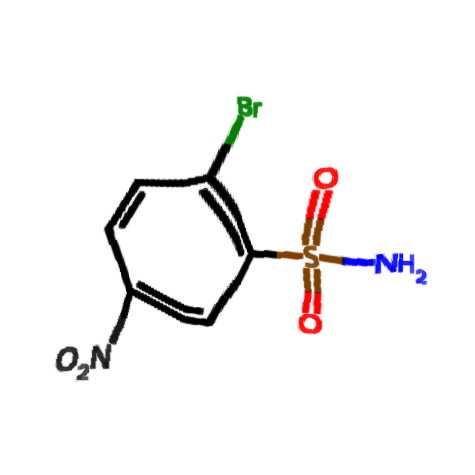 NS(=O)(=O)c1cc([N+](=O)[O-])ccc1Br